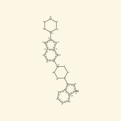 c1ccc2c(C3CCN(c4ccc5nc(N6CCOCC6)sc5n4)CC3)c[nH]c2c1